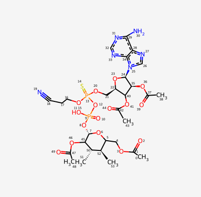 CC(=O)OCC1O[C@@H](OP(=O)(O)OP(=S)(OCCC#N)OC[C@H]2O[C@@H](n3cnc4c(N)ncnc43)[C@@H](OC(C)=O)C2OC(C)=O)C(OC(C)=O)[C@@H](C)[C@@H]1C